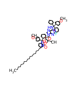 C#C[C@]1(COC(=O)NCCCCCCCCCCCCCCCCCC)O[C@@H](n2cnc3c(NC(c4ccccc4)(c4ccccc4)c4ccc(OC)cc4)nc(F)nc32)C[C@@H]1OC(c1ccccc1)(c1ccccc1)c1ccc(OC)cc1